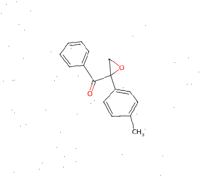 Cc1ccc(C2(C(=O)c3ccccc3)CO2)cc1